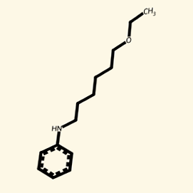 CCOCCCCCCNc1ccccc1